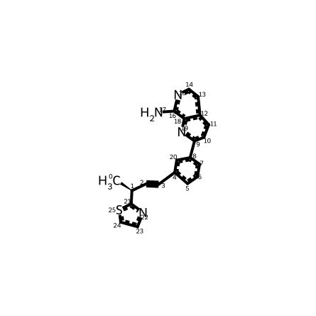 C[C@@H](C#Cc1cccc(-c2ccc3ccnc(N)c3n2)c1)c1nccs1